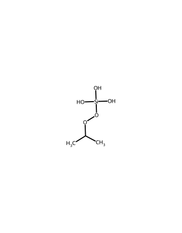 CC(C)OO[Si](O)(O)O